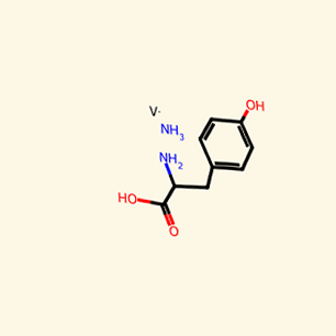 N.NC(Cc1ccc(O)cc1)C(=O)O.[V]